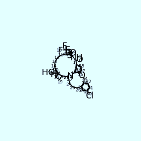 O=C1NS(=O)(=O)[C@@H](C(F)(F)F)CCCC[C@H](O)[C@@H]2CCC2CN2CCCCc3cc(Cl)ccc3COc3ccc1cc32